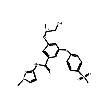 C[C@@H](CO)Oc1cc(Sc2ccc(S(C)(=O)=O)cc2)cc(C(=O)Nc2ccn(C)n2)c1